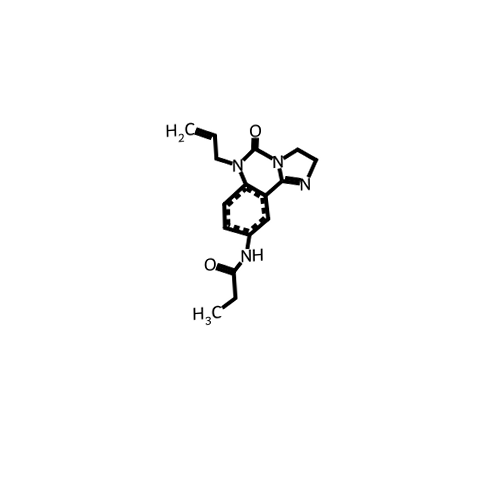 C=CCN1C(=O)N2CCN=C2c2cc(NC(=O)CC)ccc21